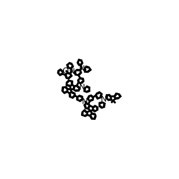 CC1(C)c2ccccc2-c2ccc(N(c3ccccc3)c3cccc(-c4ccc5c(c4)c4c6c(ccc4n5-c4ccc(-c5ccc7c(c5)C5(c8ccccc8-7)c7ccccc7-c7c5ccc5c7c7cc(-c8cc(N(c9ccccc9)c9ccccc9)cc(N(c9ccccc9)c9cccc%10c9oc9ccccc9%10)c8)ccc7n5-c5ccccc5)cc4)C4(c5ccccc5-c5ccccc54)c4ccccc4-6)c3)cc21